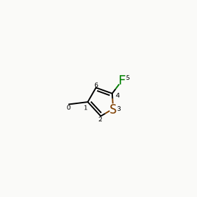 Cc1csc(F)c1